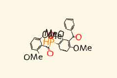 COc1cccc(OC)c1C(=O)[PH](=O)c1ccc(OC)c(C(=O)c2ccccc2)c1OC